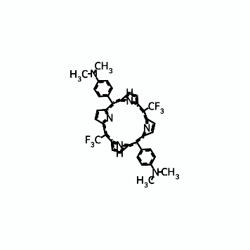 CN(C)c1ccc(-c2c3nc(c(C(F)(F)F)c4ccc([nH]4)c(-c4ccc(N(C)C)cc4)c4nc(c(C(F)(F)F)c5ccc2[nH]5)C=C4)C=C3)cc1